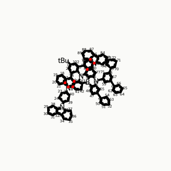 CC(C)(C)c1cc(-c2ccccc2)c(N2c3cc(N(c4ccccc4)c4ccc(-n5c6ccccc6c6ccccc65)cc4)ccc3B3c4ccc(-c5ccccc5)cc4N(c4cc(-c5ccccc5)cc(-c5ccccc5)c4)c4cc(-n5c6ccccc6c6ccccc65)cc2c43)c(-c2ccccc2)c1